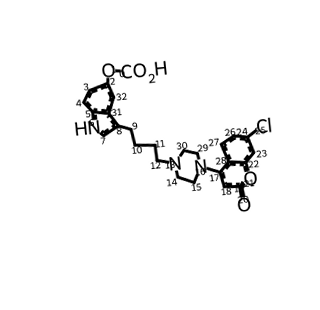 O=C(O)Oc1ccc2[nH]cc(CCCCN3CCN(c4cc(=O)oc5cc(Cl)ccc45)CC3)c2c1